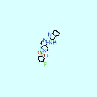 O=S(=O)(c1cccc(F)c1)N1CCc2c(ccnc2Nc2cnc3ccccc3c2)C1